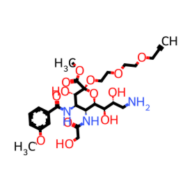 C#CCOCCOCCO[C@@]1(C(=O)OC)O[C@@H]([C@H](O)[C@H](O)CN)[C@H](NC(=O)CO)[C@@H](NC(=O)c2cccc(OC)c2)[C@@H]1O